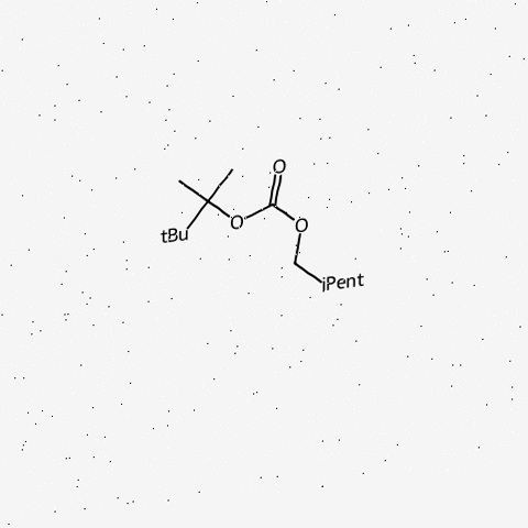 CCCC(C)COC(=O)OC(C)(C)C(C)(C)C